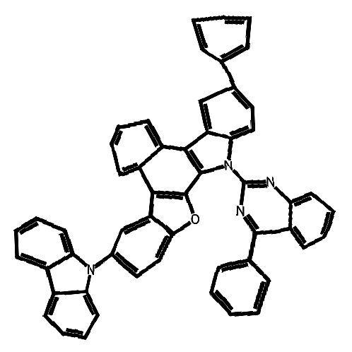 c1ccc(-c2ccc3c(c2)c2c4ccccc4c4c5cc(-n6c7ccccc7c7ccccc76)ccc5oc4c2n3-c2nc(-c3ccccc3)c3ccccc3n2)cc1